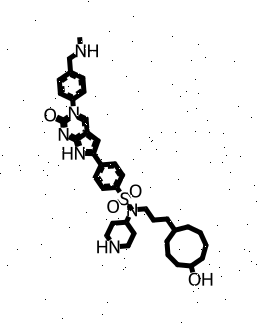 CNCc1ccc(-n2cc3cc(-c4ccc(S(=O)(=O)N(CCCC5CCCCC(O)CCC5)C5CCNCC5)cc4)[nH]c3nc2=O)cc1